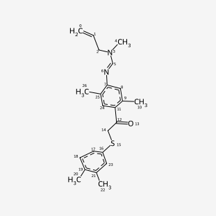 C=CCN(C)C=Nc1cc(C)c(C(=O)CSc2ccc(C)c(C)c2)cc1C